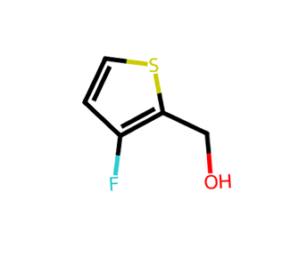 OCc1sccc1F